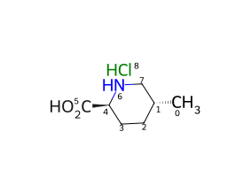 C[C@@H]1CC[C@@H](C(=O)O)NC1.Cl